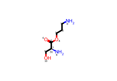 NCCCOC(=O)[C@@H](N)CO